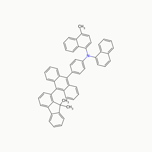 Cc1ccc(N(c2ccc(-c3c4ccccc4c(-c4cccc5c4C(C)(C)c4ccccc4-5)c4ccccc34)cc2)c2cccc3ccccc23)c2ccccc12